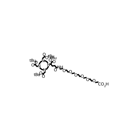 CC(C)(C)OC(=O)CN1CCN(CC(=O)OC(C)(C)C)CCN(C(CCC(=O)NCCOCCOCCOCCOCCOCCOCCC(=O)O)C(=O)OC(C)(C)C)CCN(CC(=O)OC(C)(C)C)CC1